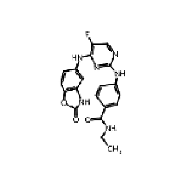 CCNC(=O)c1ccc(Nc2ncc(F)c(Nc3ccc4oc(=O)[nH]c4c3)n2)cc1